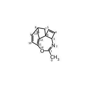 CC1=NC2C=CC23Cc2ccc(c3c2)O1